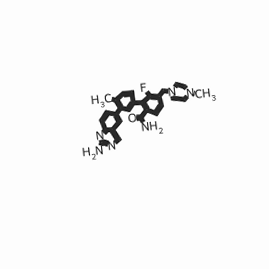 Cc1ccc(-c2c(C(N)=O)ccc(CN3CCN(C)CC3)c2F)cc1-c1ccc2nc(N)ncc2c1